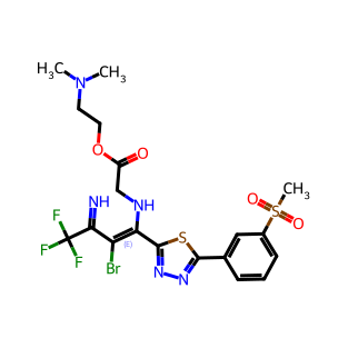 CN(C)CCOC(=O)CN/C(=C(/Br)C(=N)C(F)(F)F)c1nnc(-c2cccc(S(C)(=O)=O)c2)s1